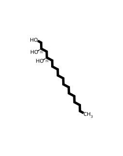 CCCCCCCCCCCCC[C@H](O)C[C@H](O)CO